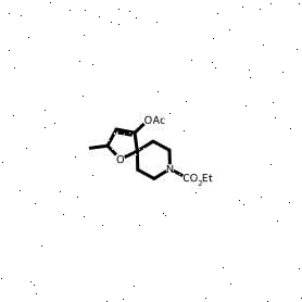 CCOC(=O)N1CCC2(CC1)OC(C)C=C2OC(C)=O